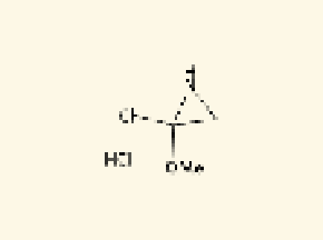 COC1(Cl)CN1.Cl